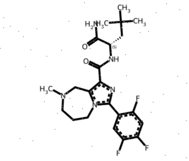 CN1CCCn2c(-c3cc(F)c(F)cc3F)nc(C(=O)N[C@@H](CC(C)(C)C)C(N)=O)c2C1